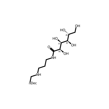 CCCCCCCCCCCNCCCNC(=O)[C@H](O)[C@@H](O)[C@H](O)[C@H](O)CO